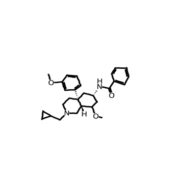 COc1cccc([C@@]23CCN(CC4CC4)C[C@H]2C(OC)C[C@@H](NC(=O)c2ccccc2)C3)c1